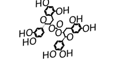 O=C(O[C@@H]1Cc2c(O)cc(O)cc2O[C@H]1c1ccc(O)c(O)c1)O[C@@H]1Cc2c(O)cc(O)cc2O[C@H]1c1ccc(O)c(O)c1